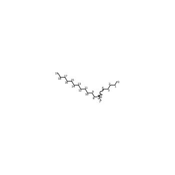 CCCCC=C=S(C)CCCCCCCCCCCC